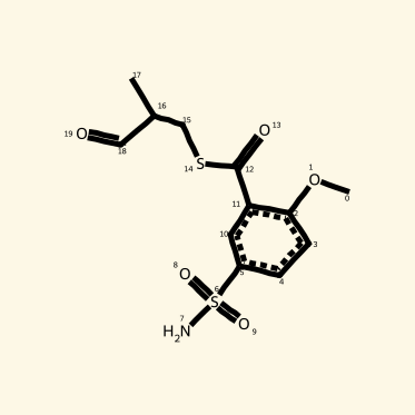 COc1ccc(S(N)(=O)=O)cc1C(=O)SCC(C)[C]=O